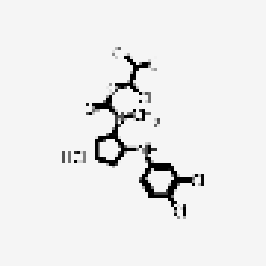 CN(C(=O)OC(Cl)C(Cl)Cl)C1CCCC1Nc1ccc(Cl)c(Cl)c1.Cl